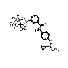 CC(Oc1ccc(NC(=O)c2cccc(B3OC(C)(C)C(C)(C)O3)c2)cc1)C1CC1